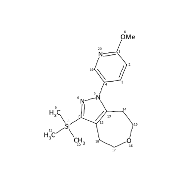 COc1ccc(-n2nc([Si](C)(C)C)c3c2CCOCC3)cn1